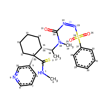 CNC(=S)[C@@]1(c2cccnc2)CCCC[C@@H]1C(C)N(C)C(=O)/N=N\S(=O)(=O)c1ccccc1